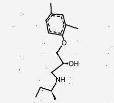 CC[C@H](C)NC[C@H](O)COc1ccc(C)cc1C